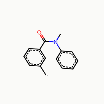 [CH2]c1cccc(C(=O)N(C)c2ccccc2)c1